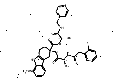 CCC(C)[C@H](NC(=O)Cc1ccccc1F)C(=O)N[C@]1(C(=O)N[C@H](C(=S)NCc2ccncn2)C(C)CC)CCc2[nH]c3c(C(F)(F)F)cccc3c2C1